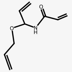 C=CCOC(C=C)NC(=O)C=C